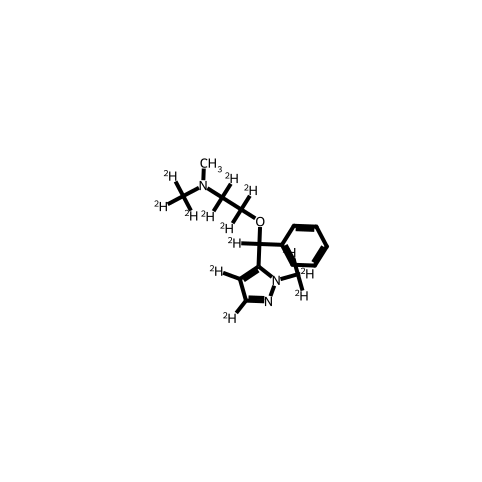 [2H]c1nn(C([2H])([2H])[2H])c(C([2H])(OC([2H])([2H])C([2H])([2H])N(C)C([2H])([2H])[2H])c2ccccc2)c1[2H]